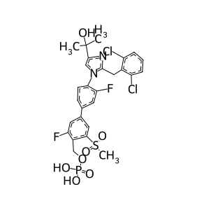 CC(C)(O)c1cn(-c2ccc(-c3cc(F)c(COP(=O)(O)O)c(S(C)(=O)=O)c3)cc2F)c(Cc2c(Cl)cccc2Cl)n1